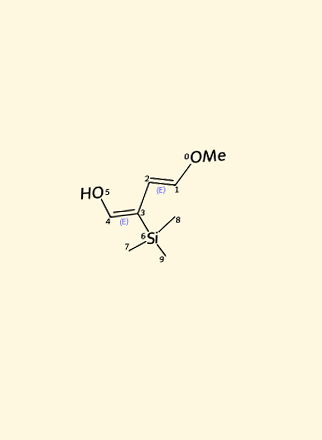 CO/C=C/C(=C\O)[Si](C)(C)C